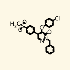 CS(=O)(=O)c1ccc(-c2cnn(Cc3ccccc3)c(=O)c2Oc2ccc(Cl)cc2)cc1